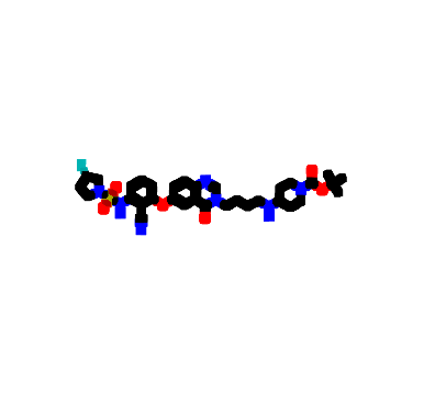 CC(C)(C)OC(=O)N1CCC(NCCCCn2cnc3ccc(Oc4cccc(NS(=O)(=O)N5CC[C@@H](F)C5)c4C#N)cc3c2=O)CC1